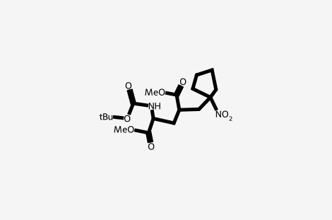 COC(=O)C(CC(NC(=O)OC(C)(C)C)C(=O)OC)CC1([N+](=O)[O-])CCCC1